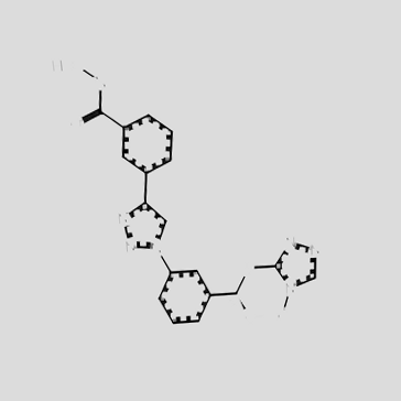 CNC(=O)c1cccc(-c2cn(-c3cccc([C@H](C)Sc4nncn4C)c3)nn2)c1